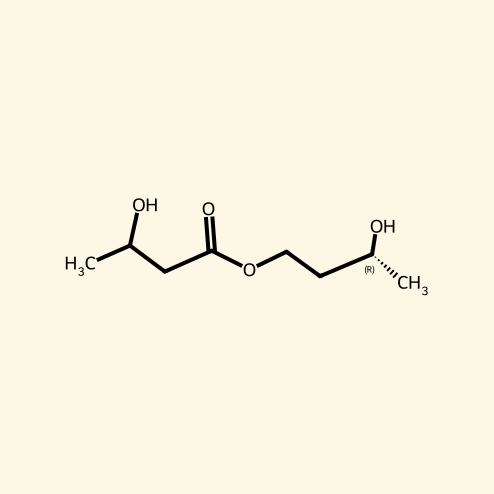 CC(O)CC(=O)OCC[C@@H](C)O